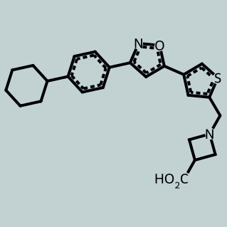 O=C(O)C1CN(Cc2cc(-c3cc(-c4ccc(C5CCCCC5)cc4)no3)cs2)C1